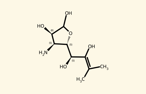 CC(C)=C(O)[C@@H](O)[C@H]1OC(O)[C@H](O)[C@@H]1N